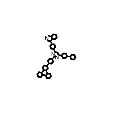 c1ccc(-c2ccc(-c3cc(-c4ccc(-c5cncc6ccccc56)cc4)nc(-c4ccc(-c5ccc6c7ccccc7c7ccccc7c6c5)cc4)n3)cc2)cc1